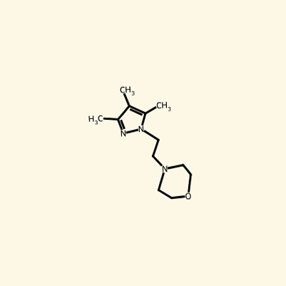 Cc1nn(CCN2CCOCC2)c(C)c1C